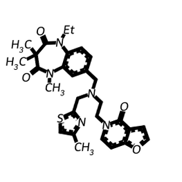 CCN1C(=O)C(C)(C)C(=O)N(C)c2cc(CN(CCn3ccc4occc4c3=O)Cc3nc(C)cs3)ccc21